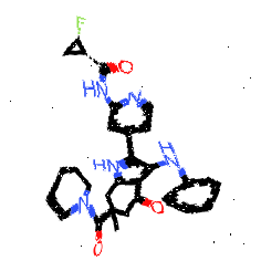 CC1(C(=O)N2CCCCC2)CC(=O)c2c([nH]c(-c3ccnc(NC(=O)[C@@H]4C[C@@H]4F)c3)c2Nc2ccccc2)C1